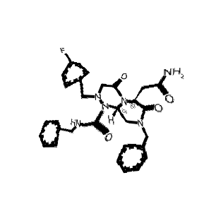 NC(=O)C[C@H]1C(=O)N(Cc2ccccc2)C[C@H]2N1C(=O)CN(Cc1ccc(F)cc1)N2C(=O)NCc1ccccc1